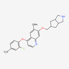 COc1cc2c(Oc3ccc([N+](=O)[O-])cc3F)ccnc2cc1OCC1CC2CNCC2C1